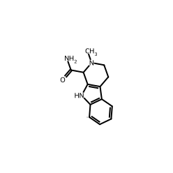 CN1CCc2c([nH]c3[c]cccc23)C1C(N)=O